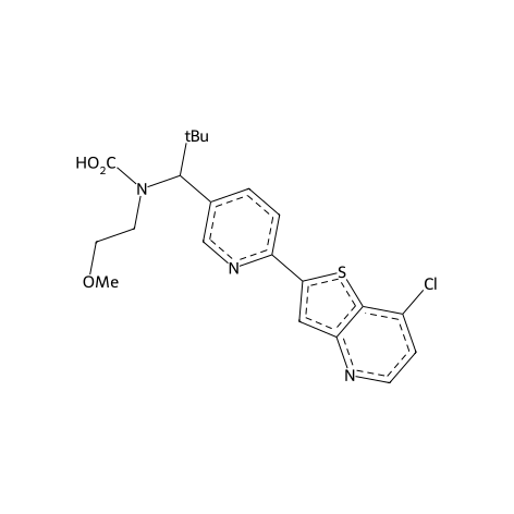 COCCN(C(=O)O)C(c1ccc(-c2cc3nccc(Cl)c3s2)nc1)C(C)(C)C